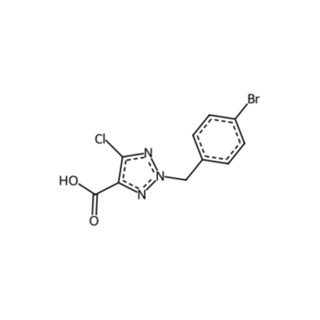 O=C(O)c1nn(Cc2ccc(Br)cc2)nc1Cl